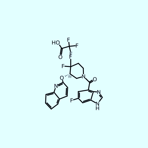 O=C(O)C(F)(F)F.O=C(c1cc(F)cc2[nH]cnc12)N1CCC(F)(F)[C@@H](Oc2ccc3ccccc3n2)C1